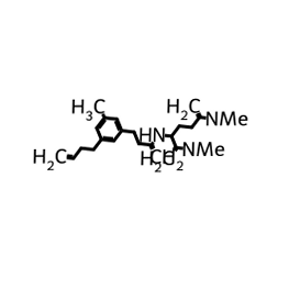 C=CCCc1cc(C)cc(CCC(=C)NC(CCC(=C)NC)C(=C)NC)c1